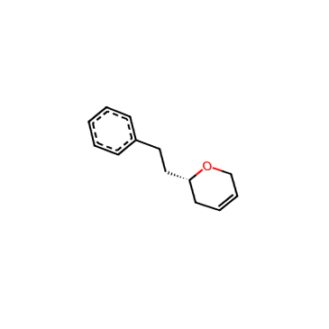 C1=CC[C@H](CCc2ccccc2)OC1